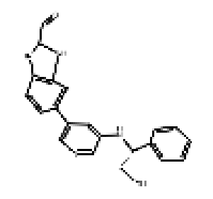 O=CC1Nc2ccc(-c3cncc(N[C@@H](CO)c4ccccc4)c3)cc2N1